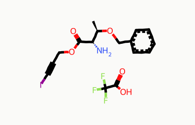 C[C@@H](OCc1ccccc1)[C@H](N)C(=O)OCC#CI.O=C(O)C(F)(F)F